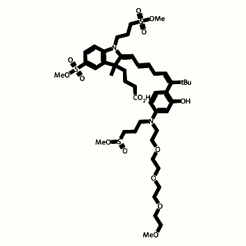 COCCOCCOCCOCCN(CCCS(=O)OC)c1ccc(/C(=C\C/C=C/C=C2/N(CCCS(=O)(=O)OC)c3ccc(S(=O)(=O)OC)cc3C2(C)CCCC(=O)O)C(C)(C)C)c(O)c1